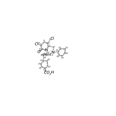 CCCCCN(Cc1c(Cl)cc(Cl)c(=O)n1CCc1ccc(C(=O)O)cc1)c1ccccc1